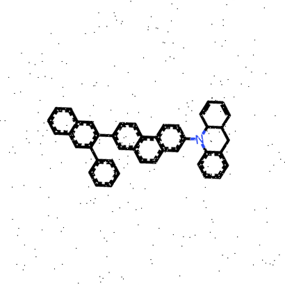 C1=CC2Cc3ccccc3N(c3ccc4c(ccc5cc(-c6cc7ccccc7cc6-c6ccccc6)ccc54)c3)C2C=C1